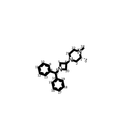 C[C@@H]1CN(C2CN(C(c3ccccc3)c3ccccc3)C2)CCN1C